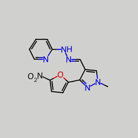 Cn1cc(C=NNc2ccccn2)c(-c2ccc([N+](=O)[O-])o2)n1